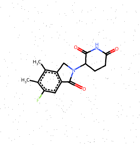 Cc1c(F)cc2c(c1C)CN(C1CCC(=O)NC1=O)C2=O